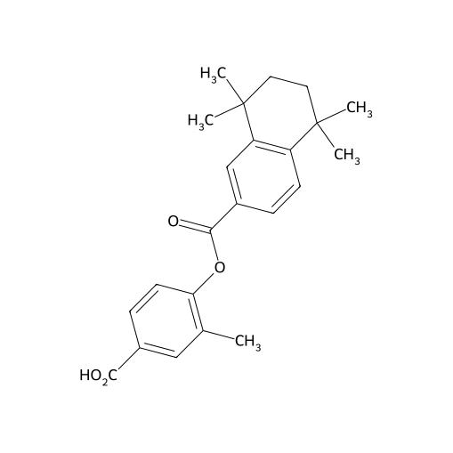 Cc1cc(C(=O)O)ccc1OC(=O)c1ccc2c(c1)C(C)(C)CCC2(C)C